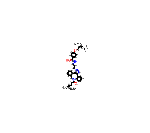 CNC(C)(C)CCOc1ccc(C(O)NCCCn2nnc3c2-c2ccccc2CN(C(=O)CCC(C)(C)NC)c2ccccc2-3)cc1